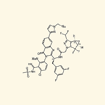 CNc1c(-n2c([C@H](Cc3cc(F)cc(F)c3)NC(=O)Cn3nc(C(F)F)c4c3C(F)(F)[C@@H]3C[C@H]43)nc3cc(-c4ccn(CC(C)(C)C)n4)ccc3c2=O)ccc(Cl)c1C(=N)NS(C)(=O)=O